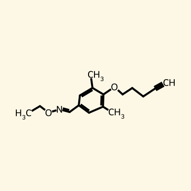 C#CCCCOc1c(C)cc(C=NOCC)cc1C